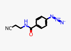 N#CCCNC(=O)c1ccc(N=[N+]=[N-])cc1